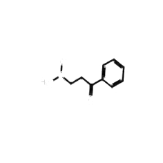 C[S+]([O-])CCC(=O)c1ccccc1